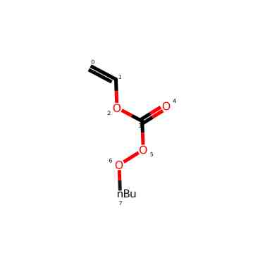 C=COC(=O)OOCCCC